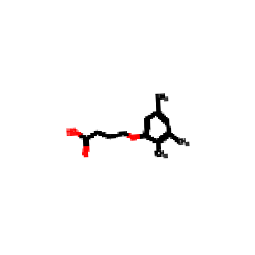 Cc1cc(C)c(C)c(OCCCC(=O)O)c1